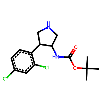 CC(C)(C)OC(=O)NC1CNCC1c1ccc(Cl)cc1Cl